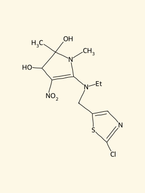 CCN(Cc1cnc(Cl)s1)C1=C([N+](=O)[O-])C(O)C(C)(O)N1C